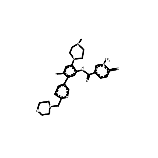 CN1CCN(c2cc(F)c(-c3ccc(CN4CCOCC4)nc3)cc2NC(=O)c2ccc(=O)n(C(F)(F)F)c2)CC1